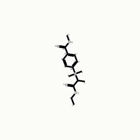 CCOC(=O)C(C)S(C)(C)c1ccc(C(=O)OC)cc1